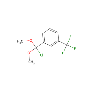 COC(Cl)(OC)c1cccc(C(F)(F)F)c1